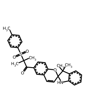 Cc1ccc(S(=O)(=O)C(C)(C)C(=O)c2ccc3c(c2)C=CC2(Nc4ccccc4C2(C)C)O3)cc1